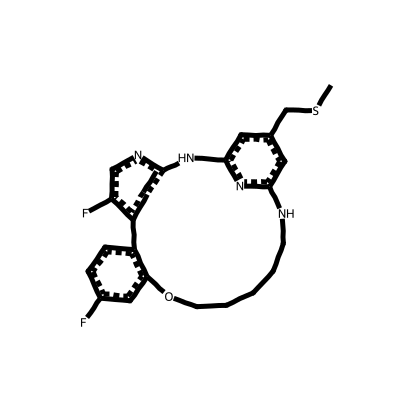 CSCc1cc2nc(c1)Nc1cc(c(F)cn1)-c1ccc(F)cc1OCCCCCN2